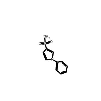 NS(=O)(=O)c1ccn(-c2ccccc2)c1